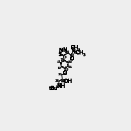 CN(C)C(=O)c1nnsc1-c1ccc(OCC(O)CNC(C)(C)C)cc1